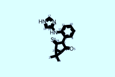 CC1(C)C2C(=O)[C](c3ccccc3Nc3c[nH]cn3)C(=S)C21